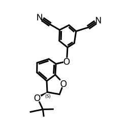 CC(C)(C)O[C@@H]1COc2c(Oc3cc(C#N)cc(C#N)c3)cccc21